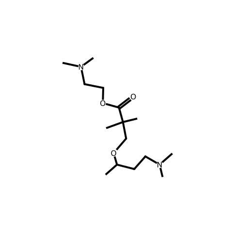 CC(CCN(C)C)OCC(C)(C)C(=O)OCCN(C)C